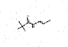 CCNNC(=O)C(C)(C)C